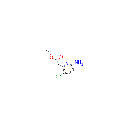 CCOC(=O)Cc1nc(N)ccc1Cl